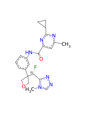 Cc1cc(C(=O)Nc2cccc(C3([C@H](F)c4nncn4C)COC3)c2)nc(C2CC2)n1